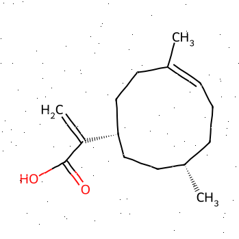 C=C(C(=O)O)[C@@H]1CC/C(C)=C\CC[C@H](C)CC1